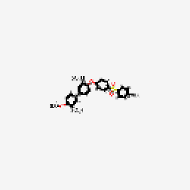 CC(C)(C)Oc1ccc(-c2ccc(Oc3ccc(S(=O)(=O)c4ccc(C(C)(C)C)cc4)cc3)c(S(=O)(=O)O)c2)cc1S(=O)(=O)O